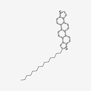 CCCCCCCCCCCCCCc1cc2c(ccc3c2ccc2c4ccc5sccc5c4ccc32)s1